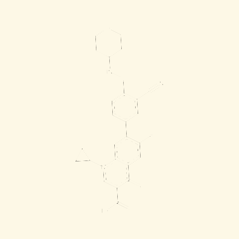 N#Cc1cc(-c2cc3c(cc2F)c(=O)c(C(=O)O)cn3C2CC2)ccc1SNC1CCOCC1